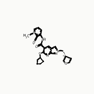 Cn1cccc(NC(=O)c2cc3cn(C[C@@H]4CCOC4)nc3nc2OC2CCCC2)c1=O